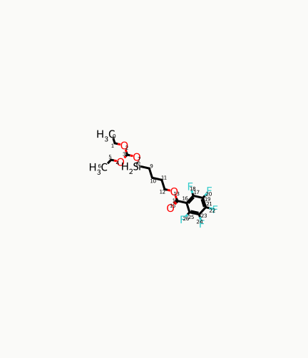 CCOC(OCC)O[SiH2]CCCCOC(=O)c1c(F)c(F)c(F)c(F)c1F